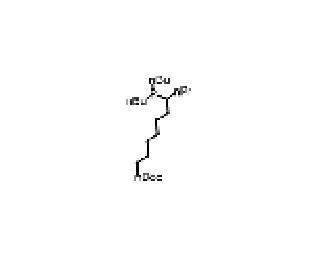 CCCCCCCCCCCCCCCCC(CCC)P(CCCC)CCCC